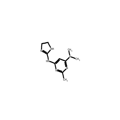 Cc1nc(NC2=NCCN2)cc(N(C)C)n1